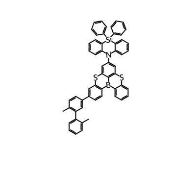 Cc1ccccc1-c1cc(-c2ccc3c(c2)Sc2cc(N4c5ccccc5[Si](c5ccccc5)(c5ccccc5)c5ccccc54)cc4c2B3c2ccccc2S4)ccc1C